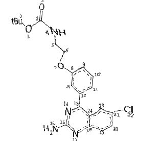 CC(C)(C)OC(=O)NCCOc1cccc(-c2nc(N)nc3ccc(Cl)cc23)c1